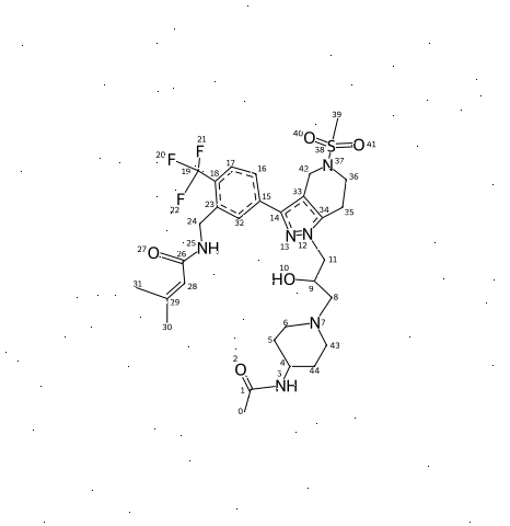 CC(=O)NC1CCN(CC(O)Cn2nc(-c3ccc(C(F)(F)F)c(CNC(=O)C=C(C)C)c3)c3c2CCN(S(C)(=O)=O)C3)CC1